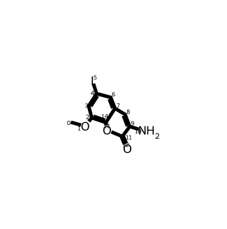 COc1cc(I)cc2cc(N)c(=O)oc12